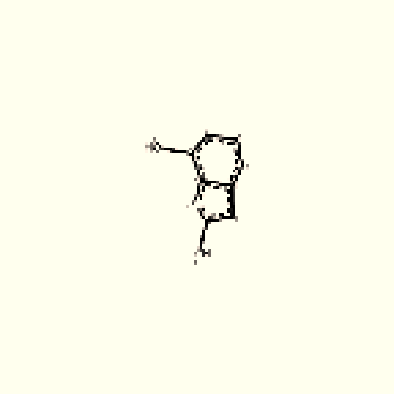 N#Cc1cc2cccc(O)c2s1